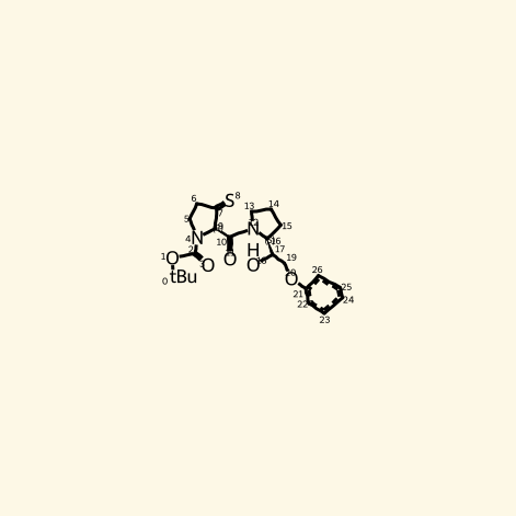 CC(C)(C)OC(=O)N1CCC(=S)[C@H]1C(=O)N1CCC[C@H]1C(O)COc1ccccc1